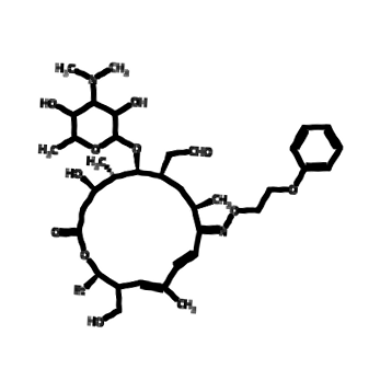 CC[C@H]1OC(=O)C[C@@H](O)[C@H](C)[C@@H](OC2OC(C)C(O)C(N(C)C)C2O)[C@@H](CC=O)C[C@@H](C)C(=N\OCCOc2ccccc2)/C=C/C(C)=C/C1CO